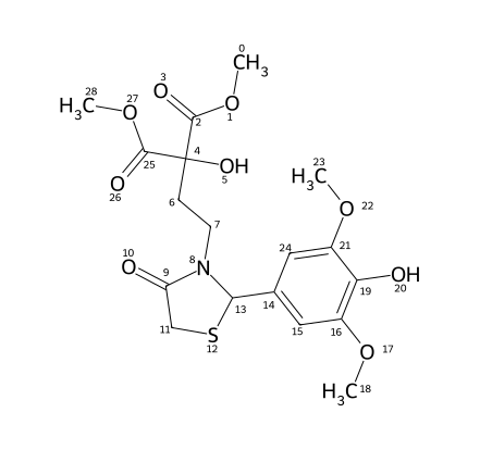 COC(=O)C(O)(CCN1C(=O)CSC1c1cc(OC)c(O)c(OC)c1)C(=O)OC